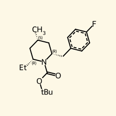 CC[C@@H]1C[C@H](C)C[C@H](Cc2ccc(F)cc2)N1C(=O)OC(C)(C)C